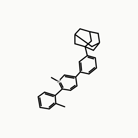 Cc1ccccc1-c1ccc(-c2cccc(C34CC5CC(CC(C5)C3)C4)c2)c[n+]1C